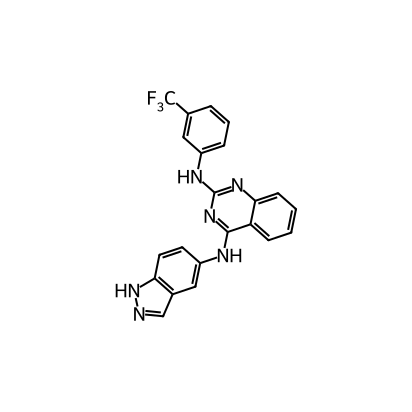 FC(F)(F)c1cccc(Nc2nc(Nc3ccc4[nH]ncc4c3)c3ccccc3n2)c1